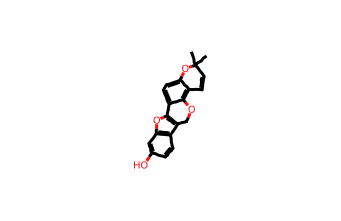 CC1(C)C=Cc2c(ccc3c2OCc2c-3oc3cc(O)ccc23)O1